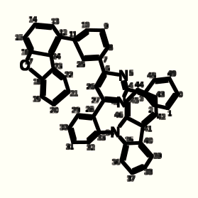 c1ccc(-c2nc(-c3cccc(-c4cccc5oc6ccccc6c45)c3)cc(-c3ccccc3-n3c4ccccc4c4ccccc43)n2)cc1